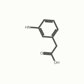 [NH]c1cccc(CC(=O)O)c1